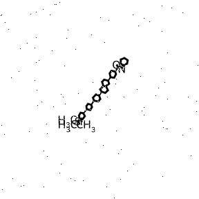 C[Si](C)(C)c1ccc(-c2ccc(-c3ccc(-c4ccc5cc(-c6ccc(-c7nc8ccccc8o7)cc6)ccc5c4)cc3)cc2)cc1